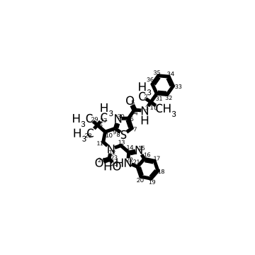 CC(C)(NC(=O)c1csc(C(CN(Cc2nc3ccccc3[nH]2)C(=O)O)C(C)(C)C)n1)c1ccccc1